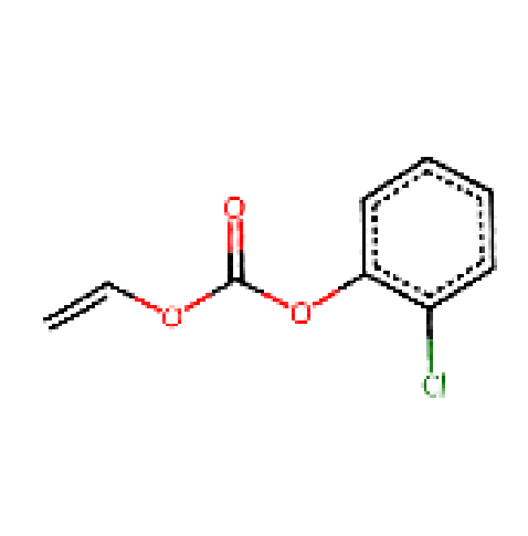 C=COC(=O)Oc1ccccc1Cl